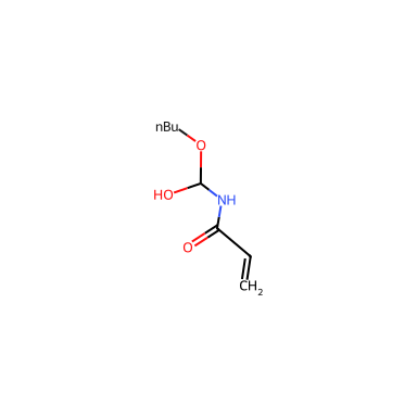 C=CC(=O)NC(O)OCCCC